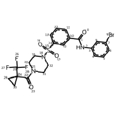 O=C(Nc1cccc(Br)c1)c1cccc(S(=O)(=O)N2CCN(C(=O)C3(C(F)(F)F)CC3)CC2)c1